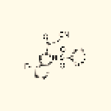 N#CCC(=O)c1cc2c(F)cccc2n1S(=O)(=O)c1ccccc1